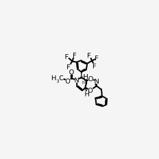 COC(=O)N1C=C[C@H]2OC(Cc3ccccc3)=NO[C@H]2[C@@H]1c1cc(C(F)(F)F)cc(C(F)(F)F)c1